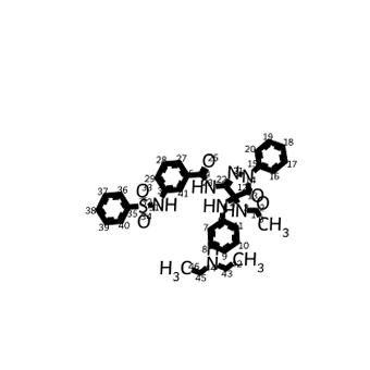 CC(=O)NC1(Nc2ccccc2)C(=O)N(c2ccccc2)N=C1NC(=O)c1cccc(NS(=O)(=O)c2ccccc2)c1.CCNCC